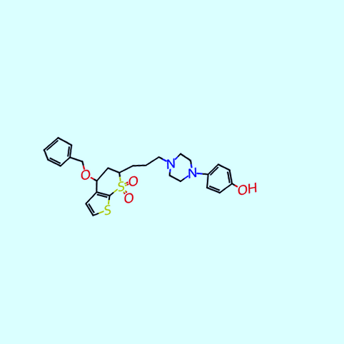 O=S1(=O)c2sccc2C(OCc2ccccc2)CC1CCCN1CCN(c2ccc(O)cc2)CC1